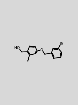 OCc1ccc(OCc2cccc(Br)c2)cc1F